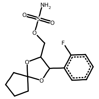 NS(=O)(=O)OCC1OC2(CCCC2)OC1c1ccccc1F